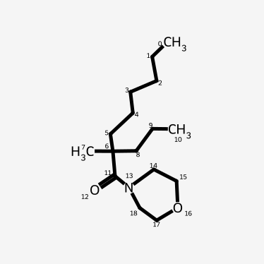 CCCCCCC(C)(CCC)C(=O)N1CCOCC1